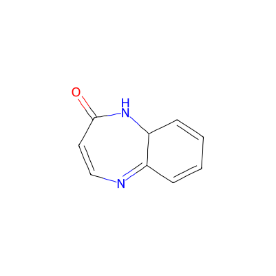 O=C1C=CN=C2C=CC=CC2N1